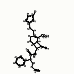 COCSC(C(=O)NC1C(=O)N2C(C(=O)O)=C(CSc3nnc(C)o3)CSC12)c1ccccc1